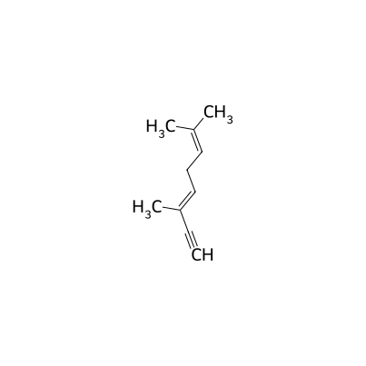 C#C/C(C)=C/CC=C(C)C